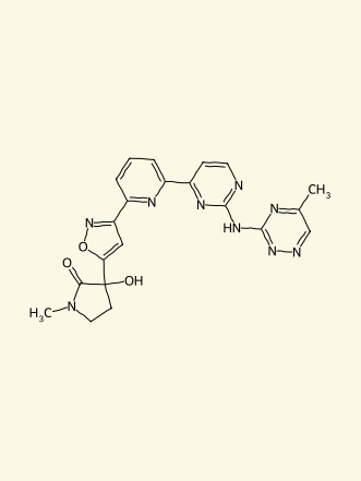 Cc1cnnc(Nc2nccc(-c3cccc(-c4cc(C5(O)CCN(C)C5=O)on4)n3)n2)n1